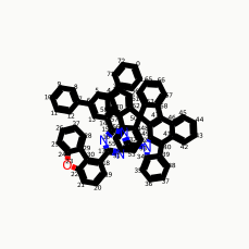 c1ccc(-c2cc(-c3ccccc3)cc(-c3nc(-c4cccc5oc6ccccc6c45)nc(-n4c5ccccc5c5c6ccccc6c6c(c54)C4(c5ccccc5-c5ccccc54)c4ccccc4-6)n3)c2)cc1